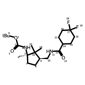 CC(C)(C)OC(=O)N[C@]1(C)CC[C@H](CNC(=O)C2CCC(F)(F)CC2)C1(C)C